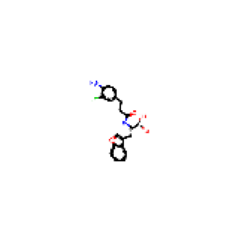 Nc1ccc(CCC(=O)N[C@@H](Cc2coc3ccccc23)B(O)O)cc1Cl